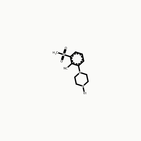 CCN1CCN(c2cccc(S(C)(=O)=O)c2C#N)CC1